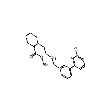 CC(C)(C)OC(=O)N1CCCCC1CCNCc1cccc(-c2ccnc(Cl)n2)c1